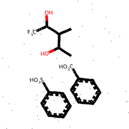 CC(O)C(C)C(O)C(F)(F)F.O=C(O)c1ccccc1.O=S(=O)(O)c1ccccc1